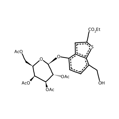 CCOC(=O)c1cc2c(O[C@@H]3O[C@H](COC(C)=O)[C@H](OC(C)=O)[C@H](OC(C)=O)[C@H]3OC(C)=O)ccc(CO)c2s1